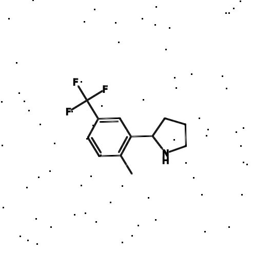 Cc1ccc(C(F)(F)F)cc1C1CCCN1